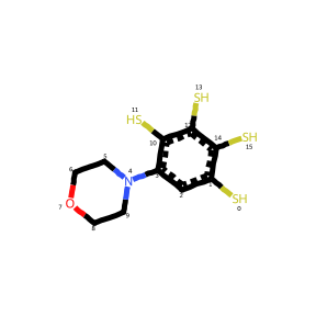 Sc1[c]c(N2CCOCC2)c(S)c(S)c1S